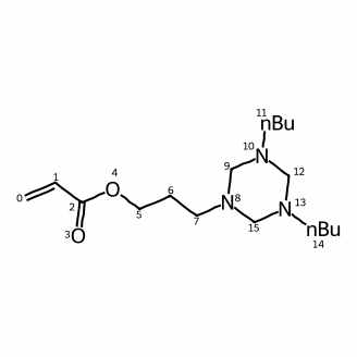 C=CC(=O)OCCCN1CN(CCCC)CN(CCCC)C1